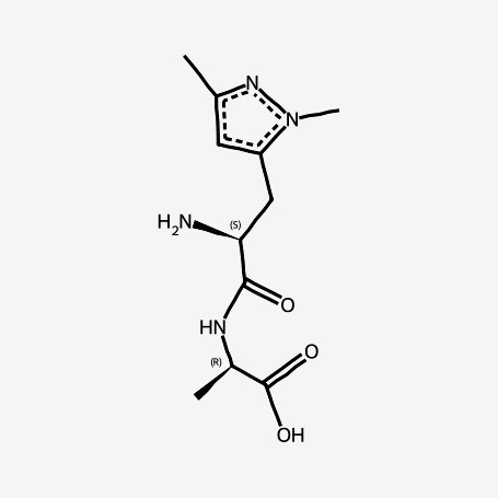 Cc1cc(C[C@H](N)C(=O)N[C@H](C)C(=O)O)n(C)n1